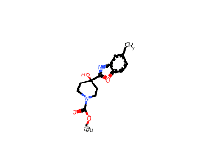 Cc1ccc2oc(C3(O)CCN(C(=O)OC(C)(C)C)CC3)nc2c1